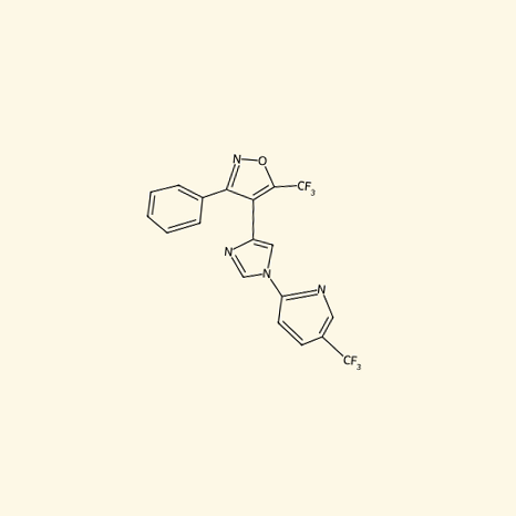 FC(F)(F)c1ccc(-n2cnc(-c3c(-c4ccccc4)noc3C(F)(F)F)c2)nc1